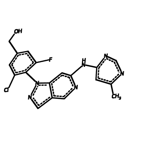 Cc1cc(Nc2cc3c(cn2)cnn3-c2c(F)cc(CO)cc2Cl)ncn1